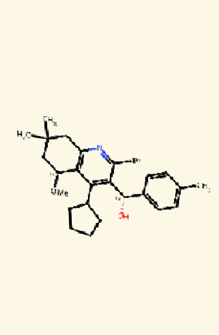 CO[C@H]1CC(C)(C)Cc2nc(C(C)C)c([C@@H](O)c3ccc(C)cc3)c(C3CCCC3)c21